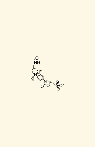 N#C[N+]1(c2ccc(N3C[C@@H](CCS(=O)(=O)[O-])OC3=O)cc2F)CCC(CNC=O)CC1